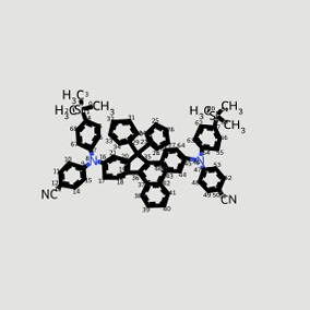 C[Si](C)(C)c1ccc(N(c2ccc(C#N)cc2)c2ccc3c(c2)C(c2ccccc2)(c2ccccc2)c2c-3c3ccccc3c3cc(N(c4ccc(C#N)cc4)c4ccc([Si](C)(C)C)cc4)ccc23)cc1